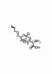 C=CCOC[C@H](CO)OP(=O)(O)O[C@H](C)[C@H](N)C(=O)O